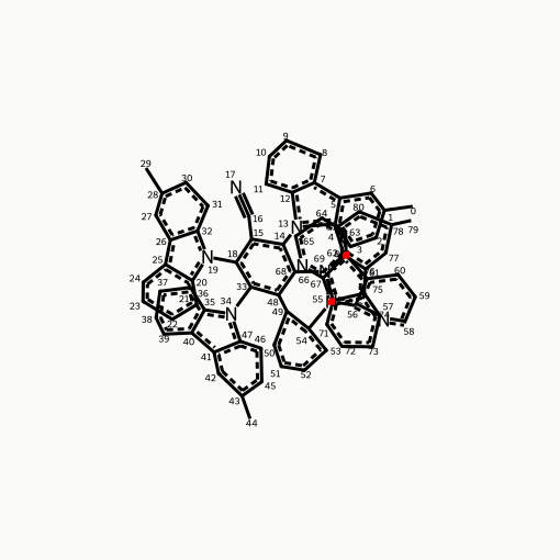 Cc1ccc2c(c1)c1ccccc1n2-c1c(C#N)c(-n2c3ccccc3c3cc(C)ccc32)c(-n2c3ccccc3c3cc(C)ccc32)c(-c2ccccc2-n2c3ncccc3c3cccnc32)c1-n1c2ccccc2c2cc(C)ccc21